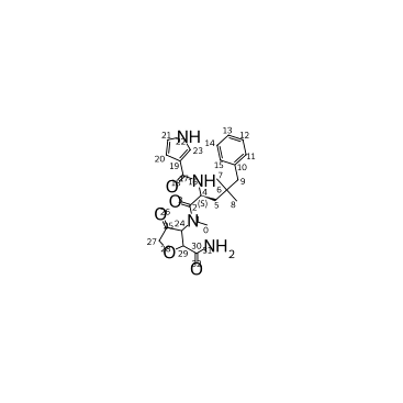 CN(C(=O)[C@H](CC(C)(C)Cc1ccccc1)NC(=O)c1cc[nH]c1)C1C(=O)COC1C(N)=O